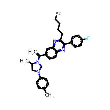 C=C(c1ccc2nc(-c3ccc(F)cc3)c(CCCCC(C)=O)nc2c1)N1CN(c2ccc(C)cc2)CC1C